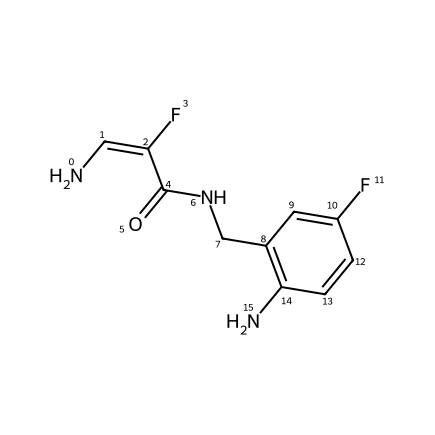 N/C=C(/F)C(=O)NCc1cc(F)ccc1N